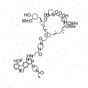 C=CC(=O)N1CCN(c2nc(NCCC(=O)N3CCN(C(=O)CCC[C@@H]4/C=C(\C)C[C@H](C)C[C@H](OC)[C@H]5O[C@@](O)(C(=O)C(=O)N6CCCC[C@H]6C(=O)O[C@H](/C(C)=C/[C@@H]6CC[C@@H](O)[C@H](OC)C6)[C@H](C)CCC4=O)[C@H](C)C[C@@H]5OC)CC3)nc3c(F)c(-c4c(O)cccc4F)c(Cl)cc23)CC1